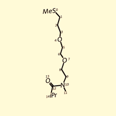 CSCCCOCCOCCN(C)C(=O)C(C)C